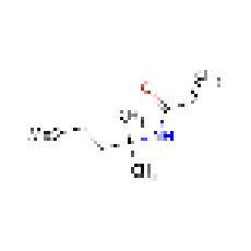 C=CC(=O)NC(C)(C)CCSC